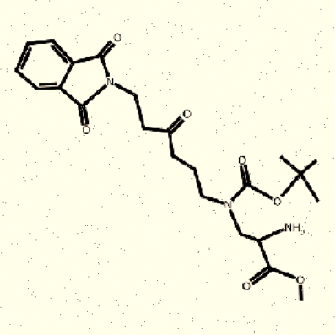 COC(=O)C(N)CN(CCCC(=O)CCN1C(=O)c2ccccc2C1=O)C(=O)OC(C)(C)C